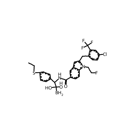 BC(O)(O)C(NC(=O)c1ccc2c(c1)cc(Cc1ccc(Cl)cc1C(F)(F)F)n2CCF)c1ccc(SCC)cc1